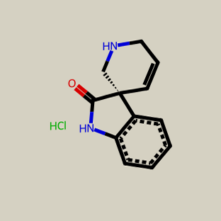 Cl.O=C1Nc2ccccc2[C@]12C=CCNC2